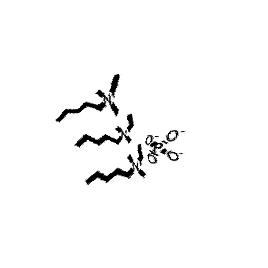 CCCCC[N+](C)(C)CC.CCCCC[N+](C)(C)CC.CCCCC[N+](C)(C)CC.O=P([O-])([O-])[O-]